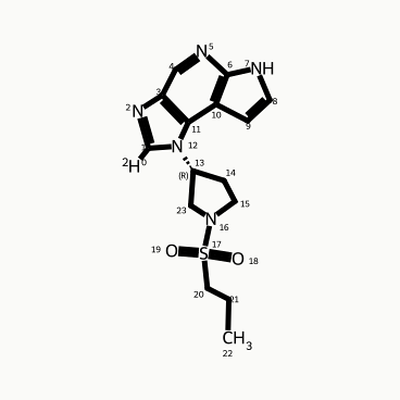 [2H]c1nc2cnc3[nH]ccc3c2n1[C@@H]1CCN(S(=O)(=O)CCC)C1